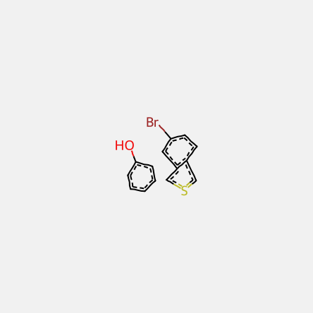 Brc1ccc2cscc2c1.Oc1ccccc1